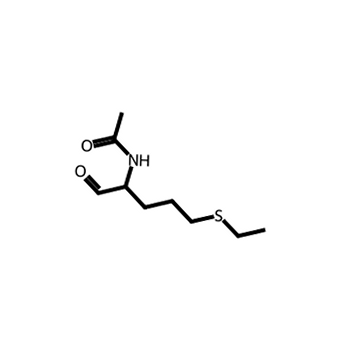 CCSCCCC(C=O)NC(C)=O